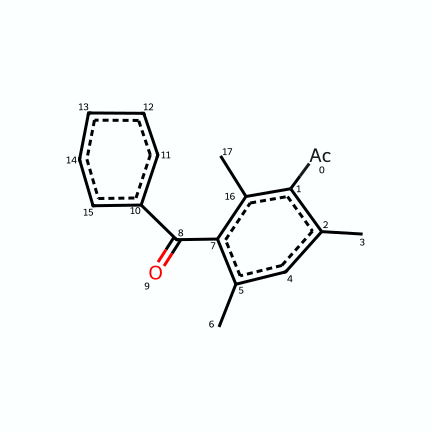 CC(=O)c1c(C)cc(C)c(C(=O)c2ccccc2)c1C